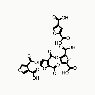 O=C(O)c1ccc(C(=O)O)o1.O=C(O)c1ccoc1C(=O)O.O=C(O)c1coc(C(=O)O)c1.O=C(O)c1cocc1C(=O)O